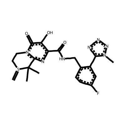 C=S1CCn2c(nc(C(=O)NCc3ccc(F)cc3-c3nnnn3C)c(O)c2=O)C1(C)C